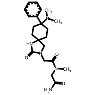 CN(CC(N)=O)C(=O)CN1CC2(CCC(c3ccccc3)(N(C)C)CC2)NC1=O